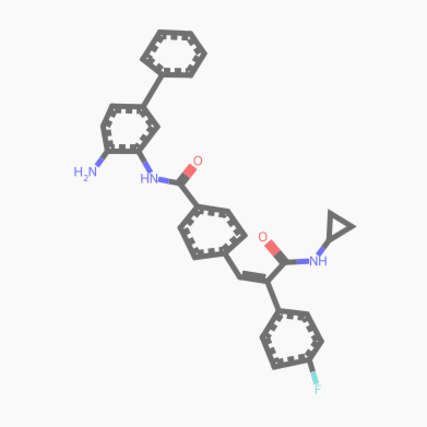 Nc1ccc(-c2ccccc2)cc1NC(=O)c1ccc(/C=C(\C(=O)NC2CC2)c2ccc(F)cc2)cc1